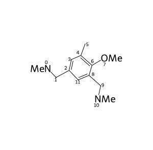 CNCc1cc(C)c(OC)c(CNC)c1